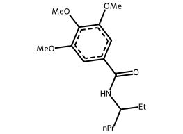 CCCC(CC)NC(=O)c1cc(OC)c(OC)c(OC)c1